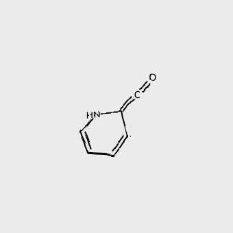 O=C=C1[C]=CC=CN1